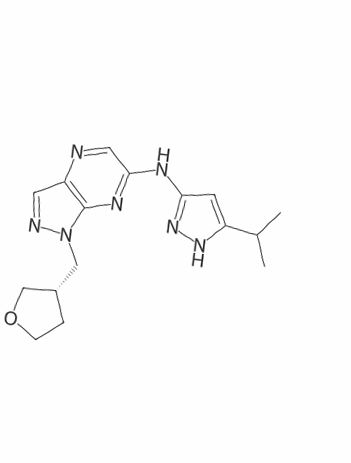 CC(C)c1cc(Nc2cnc3cnn(C[C@@H]4CCOC4)c3n2)n[nH]1